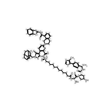 Cc1ncsc1-c1ccc([C@H](C)NC(=O)[C@@H]2C[C@@H](O)CN2C(=O)[C@@H](NC(=O)CCCCCCCCCCCS(=O)(=O)NC(=O)c2nc(N3CCc4cccc(C(=O)Nc5nc6ccccc6s5)c4C3)ccc2-c2cnn(CC34CC5CC(CC(C5)C3)C4)c2C)C(C)(C)C)cc1